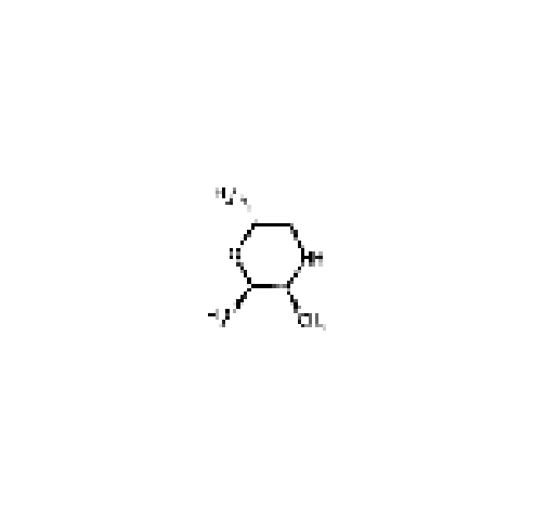 C[C@@H]1CN[C@@H](C)[C@@H](C)O1